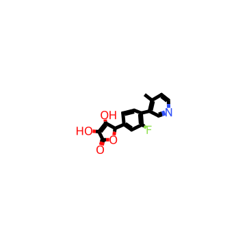 Cc1ccncc1-c1ccc(C2OC(=O)C(O)=C2O)cc1F